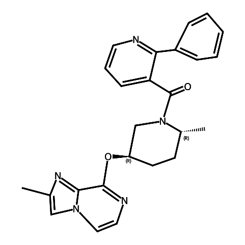 Cc1cn2ccnc(O[C@@H]3CC[C@@H](C)N(C(=O)c4cccnc4-c4ccccc4)C3)c2n1